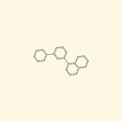 [c]1c(-c2ccccc2)cccc1-c1cccc2ccccc12